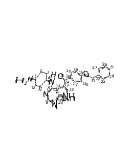 N[C@H]1CC[C@@H](Nc2ncnc3[nH]cc(C(=O)c4ccc(OCc5ccccc5)cc4)c23)CC1